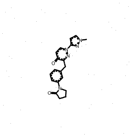 Cn1ccc(-n2ccc(=O)c(Cc3cccc(N4CCCC4=O)c3)n2)n1